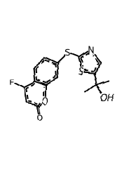 CC(C)(O)c1cnc(Sc2ccc3c(F)cc(=O)oc3c2)s1